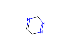 C1=NCN=NC1